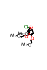 COC=CC12C=C(OCCOC)C(OCCOC)=CC1(Cl)O2